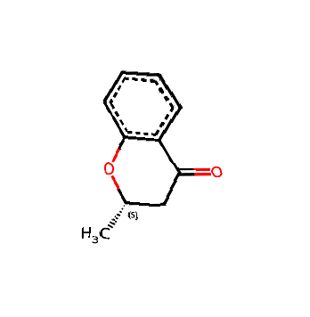 C[C@H]1CC(=O)c2ccccc2O1